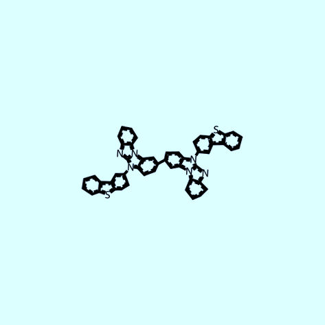 c1ccc2c(c1)nc1n(-c3ccc4sc5ccccc5c4c3)c3ccc(-c4ccc5c(c4)n4c6ccccc6nc4n5-c4ccc5sc6ccccc6c5c4)cc3n21